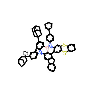 CCC1(c2ccc3c(c2)c2cc(C45CC6CC(CC(C6)C4)C5)cc4c2n3-c2cc3c(c5c2B4N(c2ccc(-c4ccccc4)cc2)c2cc4c(cc2-5)Sc2ccccc2S4)Cc2ccccc2-3)CC2CCC(C2)C1